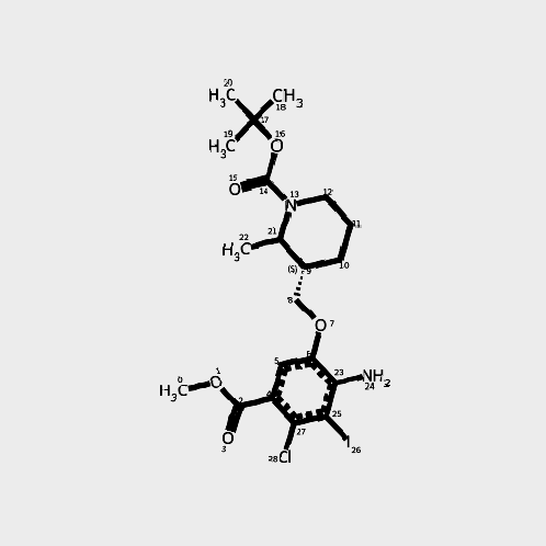 COC(=O)c1cc(OC[C@H]2CCCN(C(=O)OC(C)(C)C)C2C)c(N)c(I)c1Cl